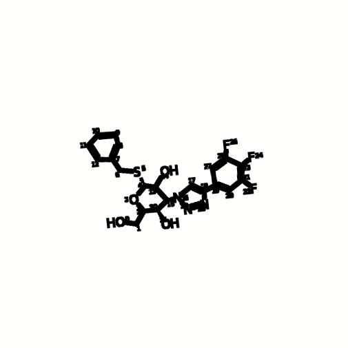 OCC1O[C@H](SCc2ccccc2)C(O)[C@@H](n2cc(-c3cc(F)c(F)c(F)c3)nn2)[C@H]1O